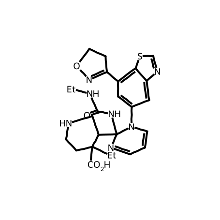 CCNC(=O)NC1(C2CNCCC2(CC)C(=O)O)N=CC=CN1c1cc(C2=NOCC2)c2scnc2c1